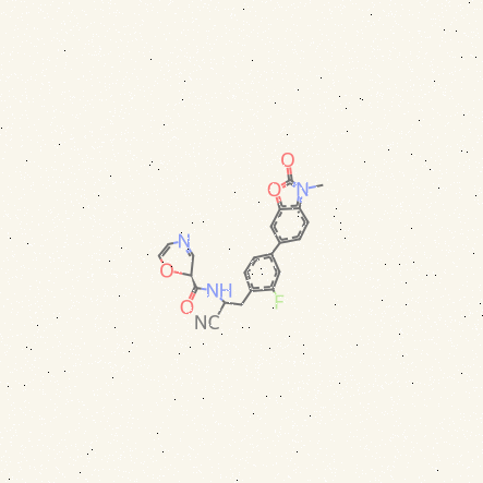 Cn1c(=O)oc2cc(-c3ccc(CC(C#N)NC(=O)[C@@H]4C=NC=CO4)c(F)c3)ccc21